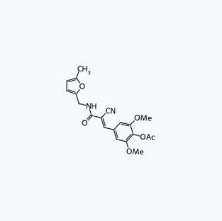 COc1cc(/C=C(\C#N)C(=O)NCc2ccc(C)o2)cc(OC)c1OC(C)=O